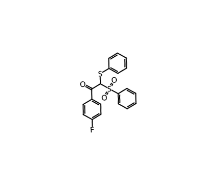 O=C(c1ccc(F)cc1)C(Sc1ccccc1)S(=O)(=O)c1ccccc1